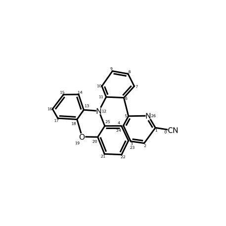 N#Cc1cccc(-c2ccccc2N2c3ccccc3Oc3ccccc32)n1